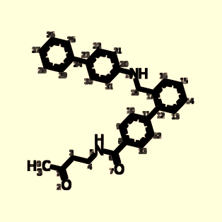 CC(=O)CCNC(=O)c1ccc(-c2ccccc2CNc2ccc(-c3ccccc3)cc2)cc1